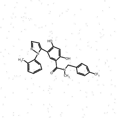 Cc1ccccc1-n1nccc1-c1cc(C(=O)N(C)Cc2ccc(C(F)(F)F)cc2)c(O)cc1O